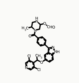 CC(Oc1ccc2[nH]nc(-c3ccc(C(=O)N4CC(OC=O)NCC4C)cc3)c2c1)c1c(Cl)cncc1Cl